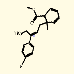 COC(=O)C1C=CC=CC1(C)C/C=C(\CO)c1ccc(F)cc1